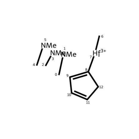 C[N-]C.C[N-]C.C[N-]C.[CH3][Hf+3][C]1=CC=CC1